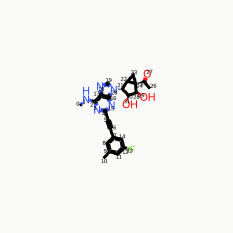 CNc1nc(C#Cc2cc(C)cc(F)c2)nc2c1ncn2[C@@H]1C2C[C@]2(C(C)=O)C(O)[C@H]1O